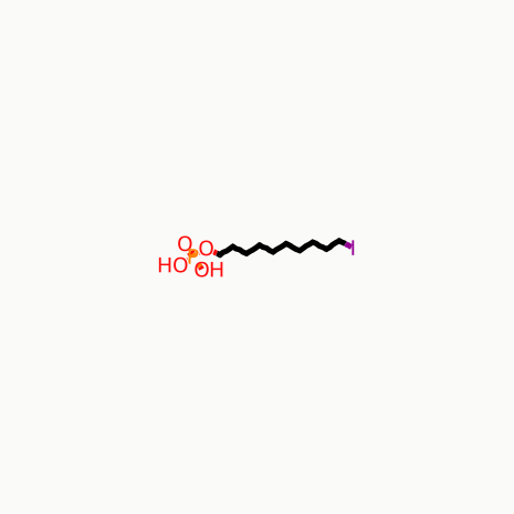 O=P(O)(O)OCCCCCCCCCCI